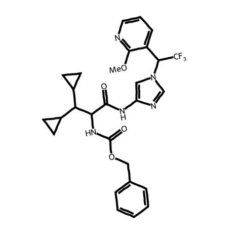 COc1ncccc1C(n1cnc(NC(=O)C(NC(=O)OCc2ccccc2)C(C2CC2)C2CC2)c1)C(F)(F)F